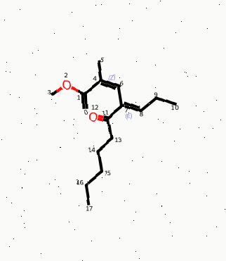 C=C(OC)/C(C)=C\C(=C/CC)C(=O)CCCCC